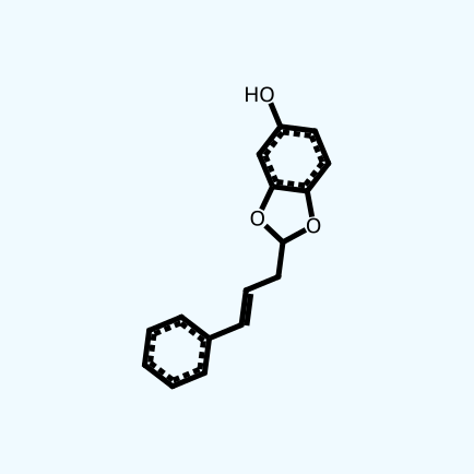 Oc1ccc2c(c1)OC(CC=Cc1ccccc1)O2